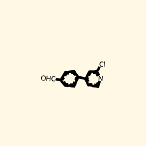 O=Cc1ccc(-c2ccnc(Cl)c2)cc1